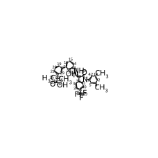 Cc1cc(C)cc(N2C(=O)/C(=N\Nc3cccc(-c4cccc(C(C)(C)C(=O)O)c4)c3O)c3ccc(C(F)(F)F)cc32)c1